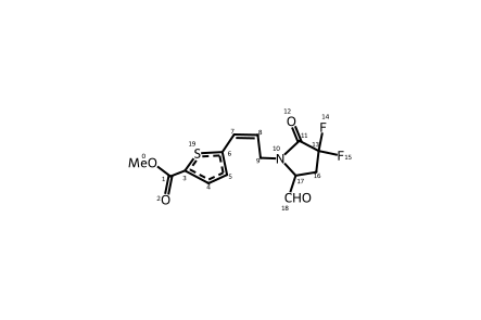 COC(=O)c1ccc(/C=C\CN2C(=O)C(F)(F)CC2C=O)s1